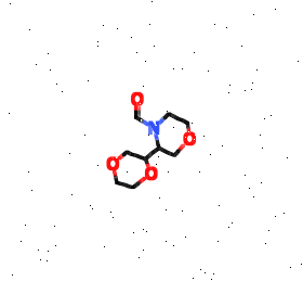 O=CN1CCOCC1C1COCCO1